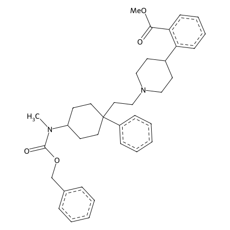 COC(=O)c1ccccc1C1CCN(CCC2(c3ccccc3)CCC(N(C)C(=O)OCc3ccccc3)CC2)CC1